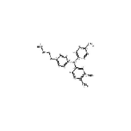 Cc1ccc(N(c2ccc(CCCO)cc2)c2ccc(C)c(C(C)C)c2)cc1